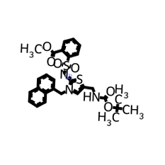 COC(=O)c1ccccc1S(=O)(=O)/N=c1\sc(CNC(=O)OC(C)(C)C)cn1Cc1cccc2ccccc12